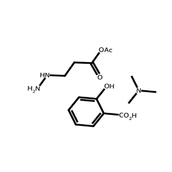 CC(=O)OC(=O)CCNN.CN(C)C.O=C(O)c1ccccc1O